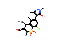 COC1C(=C=O)C(C)S(=O)(=O)c2c(F)cc(-c3c(C)nn(C)c3O)c(C)c21